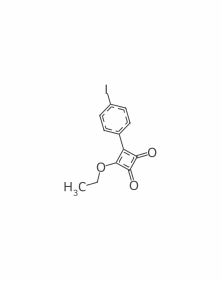 CCOc1c(-c2ccc(I)cc2)c(=O)c1=O